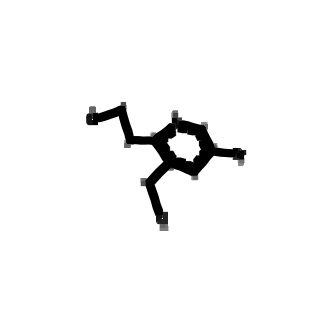 ClCCc1ncc(Br)cc1CCl